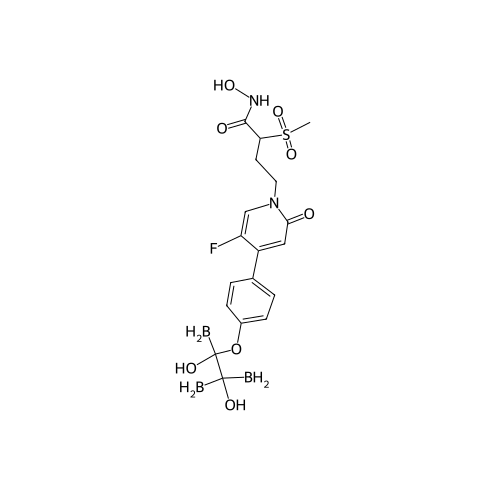 BC(B)(O)C(B)(O)Oc1ccc(-c2cc(=O)n(CCC(C(=O)NO)S(C)(=O)=O)cc2F)cc1